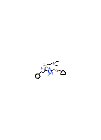 CCN(CC)CCCS(=O)(=O)N[C@H](CCc1ccccc1)c1nc(COCc2ccccc2)nn1C